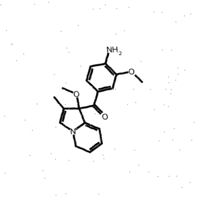 COc1cc(C(=O)C2(OC)C(C)=CN3CC=CC=C32)ccc1N